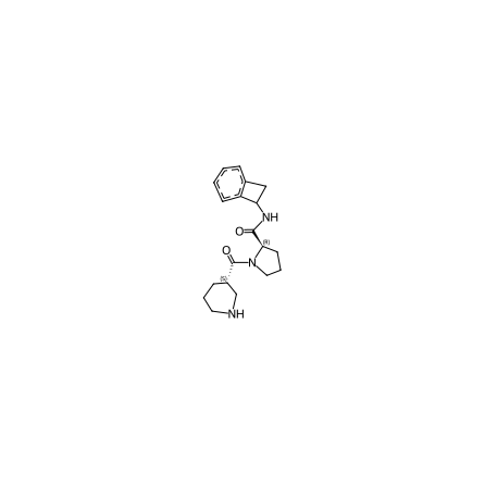 O=C(NC1Cc2ccccc21)[C@H]1CCCN1C(=O)[C@H]1CCCNC1